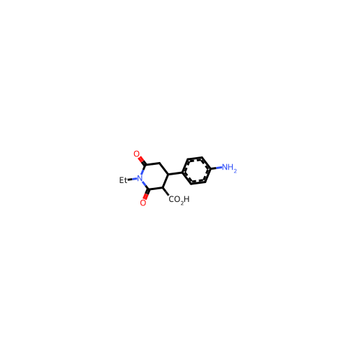 CCN1C(=O)CC(c2ccc(N)cc2)C(C(=O)O)C1=O